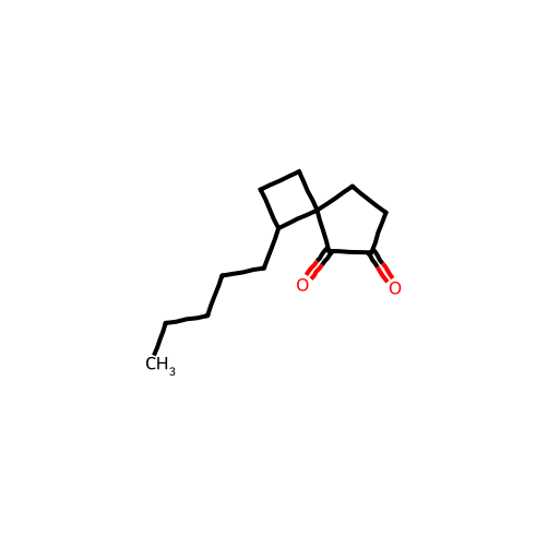 CCCCCC1CCC12CCC(=O)C2=O